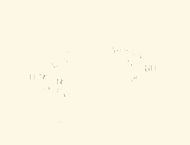 COc1cc(-c2ccc(N(C(N)=O)S(=O)(=O)c3ccc(C)cc3)c(OC)c2)ccc1N(C(N)=O)S(=O)(=O)c1ccc(C)cc1